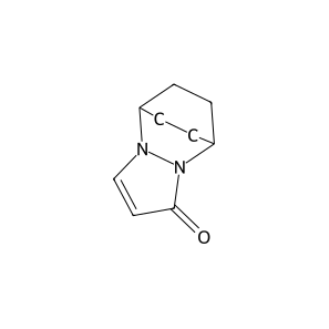 O=c1ccn2n1C1CCC2CC1